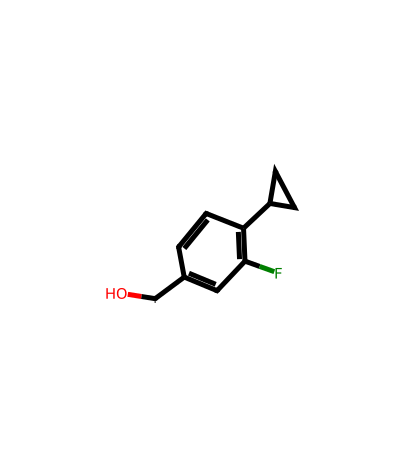 O[CH]c1ccc(C2CC2)c(F)c1